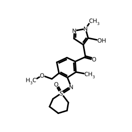 COCc1ccc(C(=O)c2cnn(C)c2O)c(C)c1N=S1(=O)CCCCC1